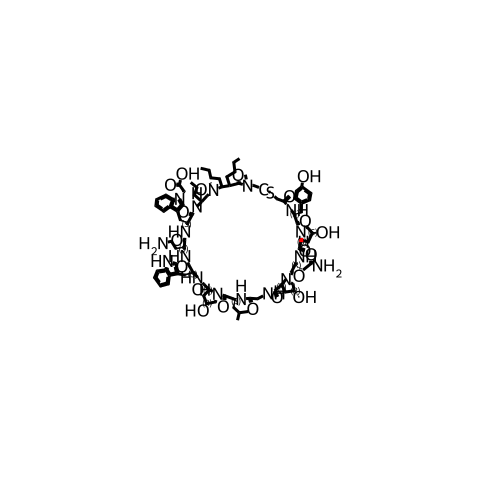 CCCCC1C(=O)N(C)CCSCC(=O)N[C@@H](Cc2ccc(O)cc2)C(=O)N2C[C@@H](O)C[C@H]2C(=O)N[C@H](CC(N)=O)C(=O)N2C[C@H](O)C[C@@H]2C(=O)NCC(=O)N[C@@H](CC(C)C)C(=O)N2C[C@H](O)C[C@H]2C(=O)N[C@@H](Cc2c[nH]c3ccccc23)C(=O)N[C@@H](CCN)C(=O)N[C@@H](Cc2cn(CC(=O)O)c3ccccc23)C(=O)NC(CCC)C(=O)N(C)C1CCCC